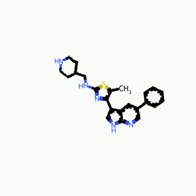 Cc1sc(NCC2CCNCC2)nc1-c1c[nH]c2ncc(-c3ccccc3)cc12